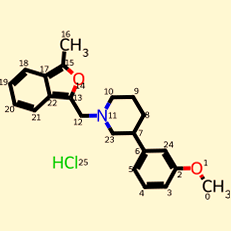 COc1cccc(C2CCCN(Cc3oc(C)c4ccccc34)C2)c1.Cl